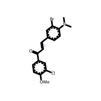 COc1ccc(C(=O)/C=C/c2ccc(N(C)C)c(Br)c2)cc1Cl